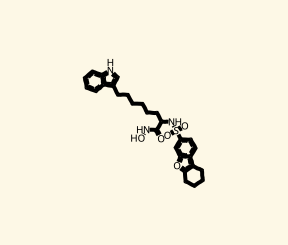 O=C(NO)C(CCCCCCc1c[nH]c2ccccc12)NS(=O)(=O)c1ccc2c3c(oc2c1)CCCC3